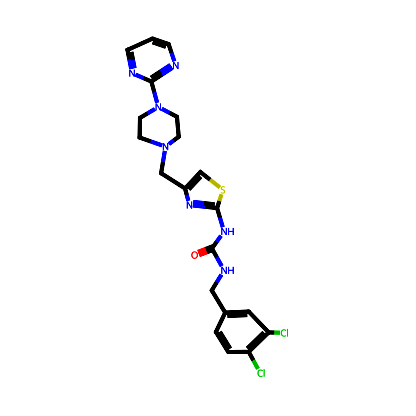 O=C(NCc1ccc(Cl)c(Cl)c1)Nc1nc(CN2CCN(c3ncccn3)CC2)cs1